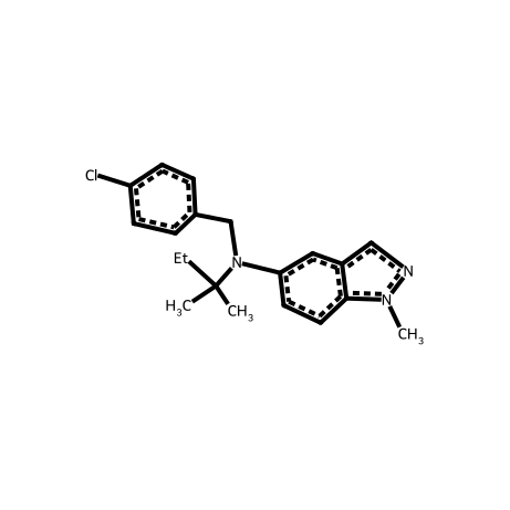 CCC(C)(C)N(Cc1ccc(Cl)cc1)c1ccc2c(cnn2C)c1